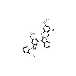 CCOc1cc(F)c(Cn2nc(-c3nc(CO)cc(Nc4ccncc4C)n3)c3ccccc32)c(F)c1